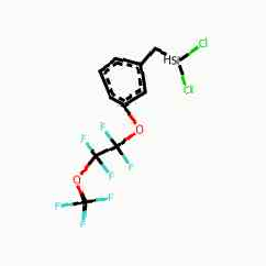 FC(F)(F)OC(F)(F)C(F)(F)Oc1cccc(C[SiH](Cl)Cl)c1